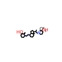 C=C1/C(=C\C=C2/CCCC3(C)C2CCC3C(C)CN2CCCC(O)(C(F)(F)F)C2)CCC[C@@H]1O